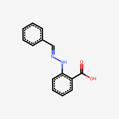 O=C(O)c1ccccc1NN=Cc1ccccc1